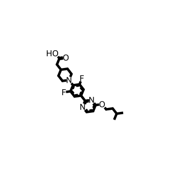 CC(C)CCOc1ccnc(-c2cc(F)c(N3CCC(CC(=O)O)CC3)c(F)c2)n1